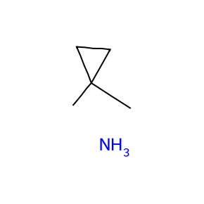 CC1(C)CC1.N